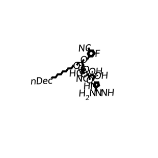 CCCCCCCCCCCCCCCCCCCOC[C@H](COP(=O)(O)OC[C@@]1(C#N)O[C@@H](c2ccc(/C(N)=N\C=N)[nH]2)[C@H](O)[C@@H]1O)OCc1cc(F)cc(C#N)c1